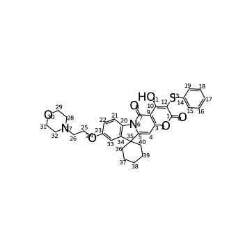 O=c1oc2cc3n(c(=O)c2c(O)c1Sc1ccccc1)-c1ccc(OCCN2CCOCC2)cc1C31CCCCC1